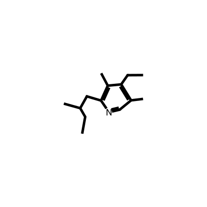 CCc1c(C)cnc(CC(C)CC)c1C